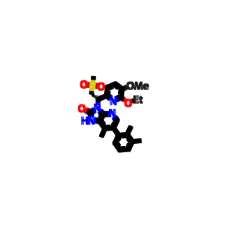 CCOc1nc([C@@H](CS(C)(=O)=O)n2c(=O)[nH]c3c(C)c(-c4cccc(C)c4C)cnc32)ccc1OC